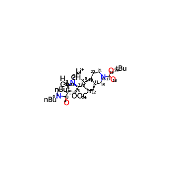 CCCCN(CCCC)C(=O)c1cc(-c2cc3c(cc2C(=O)[O-])CN(C(=O)OC(C)(C)C)CC3)n(C)c1C.[Li+]